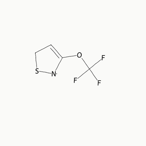 FC(F)(F)OC1=CCS[N]1